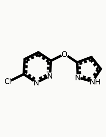 Clc1ccc(Oc2cc[nH]n2)nn1